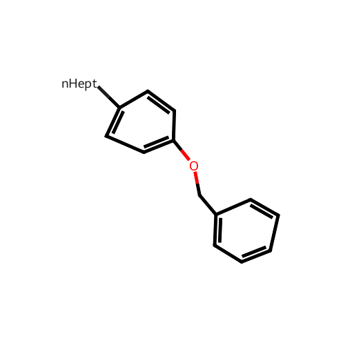 CCCCCCCc1ccc(OCc2ccccc2)cc1